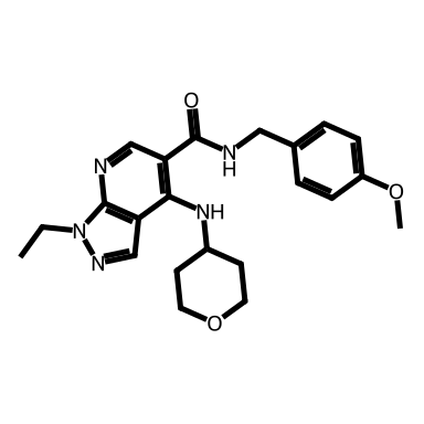 CCn1ncc2c(NC3CCOCC3)c(C(=O)NCc3ccc(OC)cc3)cnc21